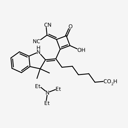 CC1(C)C(=C(CCCCCC(=O)O)C2=C(O)C(=O)C2=C(C#N)C#N)Nc2ccccc21.CCN(CC)CC